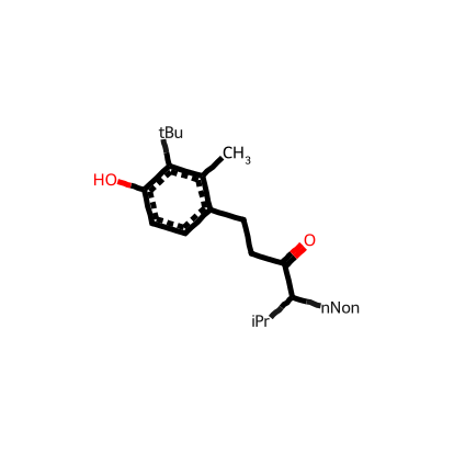 CCCCCCCCCC(C(=O)CCc1ccc(O)c(C(C)(C)C)c1C)C(C)C